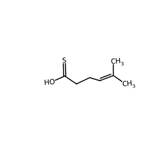 CC(C)=CCCC(O)=S